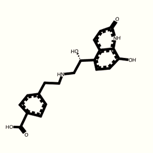 O=C(O)c1ccc(CCNC[C@H](O)c2ccc(O)c3[nH]c(=O)ccc23)cc1